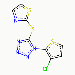 Clc1ccsc1-n1nnnc1Sc1nccs1